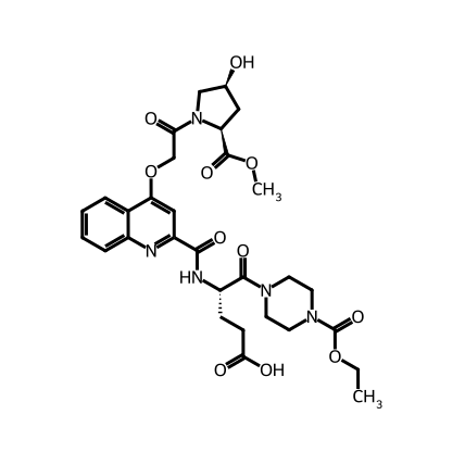 CCOC(=O)N1CCN(C(=O)[C@H](CCC(=O)O)NC(=O)c2cc(OCC(=O)N3C[C@@H](O)C[C@H]3C(=O)OC)c3ccccc3n2)CC1